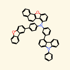 c1ccc(-n2c3ccccc3c3c(-c4cccc(N(c5ccc(-c6ccc7oc8ccccc8c7c6)cc5)c5cccc6oc7c8ccccc8ccc7c56)c4)cccc32)cc1